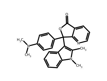 Cc1c(C2(c3ccc(N(C)C)cc3)OC(=O)c3cccnc32)c2ccccc2n1C